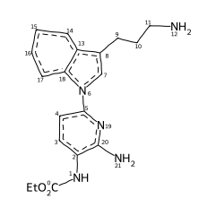 CCOC(=O)Nc1ccc(-n2cc(CCCN)c3ccccc32)nc1N